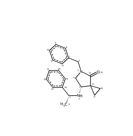 C[C@@H](N[C@@H]1CN(Cc2ccccc2)C(=O)C12CC2)c1ccccc1